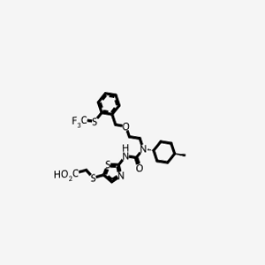 C[C@H]1CC[C@H](N(CCOCc2ccccc2SC(F)(F)F)C(=O)Nc2ncc(SCC(=O)O)s2)CC1